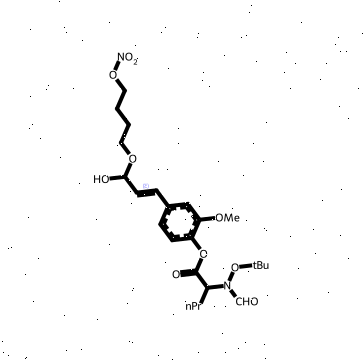 CCCC(C(=O)Oc1ccc(/C=C/C(O)OCCCCO[N+](=O)[O-])cc1OC)N(C=O)OC(C)(C)C